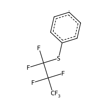 FC(F)(F)C(F)(F)C(F)(F)Sc1cc[c]cc1